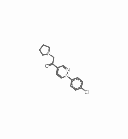 O=C(CN1CCCC1)C1=C=CN(c2ccc(Cl)cc2)N=C1